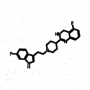 Fc1ccc2c(CCN3CCC(C4=Nc5cccc(F)c5CN4)CC3)c[nH]c2c1